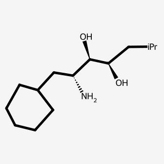 CC(C)C[C@@H](O)[C@H](O)[C@H](N)CC1CCCCC1